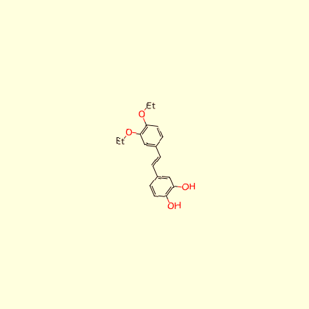 CCOc1ccc(C=Cc2ccc(O)c(O)c2)cc1OCC